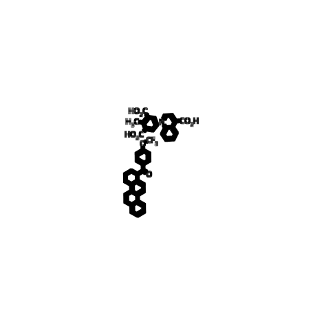 Cc1c(C(=O)O)cccc1C(=O)O.O=C(O)c1ccnc2ccccc12.O=C(c1ccc(OC(F)(F)F)cc1)C1CCCc2c1ccc1c2ccc2ccccc21